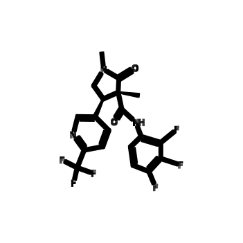 CN1C[C@H](c2ccc(C(F)(F)F)nc2)[C@@](C)(C(=O)Nc2ccc(F)c(F)c2F)C1=O